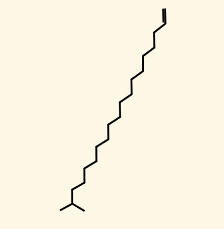 C=CCCCCCCCCCCCCCCCC(C)C